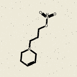 O=[SH](=O)OCCCN1CC=CCC1